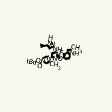 Cc1cc2c(F)c(Oc3nc(Nc4cc(C5CC5)[nH]n4)cc(N4CCN(C(=O)OC(C)(C)C)C[C@@H]4C)n3)ccc2[nH]1